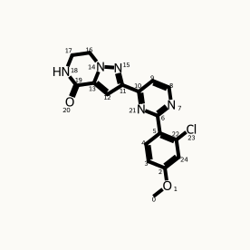 COc1ccc(-c2nccc(-c3cc4n(n3)CCNC4=O)n2)c(Cl)c1